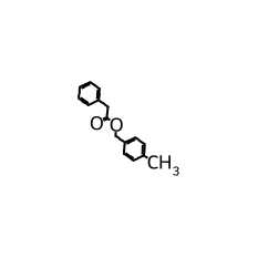 Cc1ccc(COC(=O)Cc2ccccc2)cc1